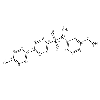 CN(c1cccc(CO)c1)S(=O)(=O)c1ccc(-c2ccc(Br)cc2)cc1